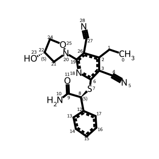 CCc1c(C#N)c(S[C@H](C(N)=O)c2ccccc2)nc(N2C[C@H](O)CO2)c1C#N